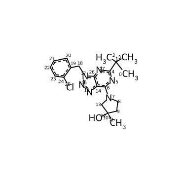 CC(C)(C)c1nc(N2CC[C@](C)(O)C2)c2nnn(Cc3ccccc3Cl)c2n1